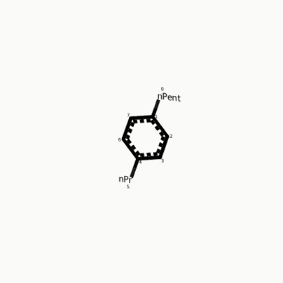 CCCCCc1ccc(CCC)cc1